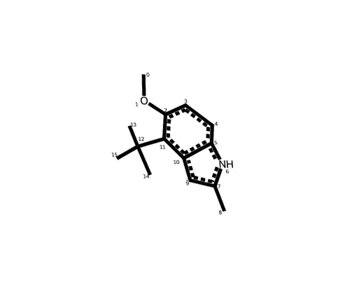 COc1ccc2[nH]c(C)[c]c2c1C(C)(C)C